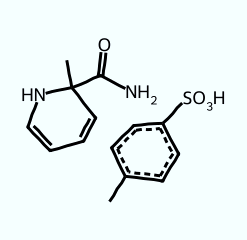 CC1(C(N)=O)C=CC=CN1.Cc1ccc(S(=O)(=O)O)cc1